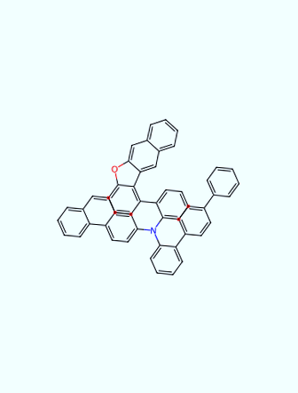 c1ccc(-c2ccc(-c3ccccc3N(c3ccc4c(ccc5ccccc54)c3)c3ccccc3-c3cccc4oc5cc6ccccc6cc5c34)cc2)cc1